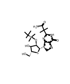 CC(C)(C(N)=O)c1nc2c(ncn2[C@@H]2S[C@H](CO)[C@@H](O)[C@H]2O[Si](C)(C)C(C)(C)C)c(=O)[nH]1